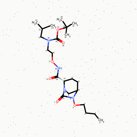 CCCCON1C(=O)N2CC1CC[C@H]2C(=O)NOCCN(CC(C)C)C(=O)OC(C)(C)C